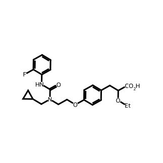 CCOC(Cc1ccc(OCCN(CC2CC2)C(=O)Nc2ccccc2F)cc1)C(=O)O